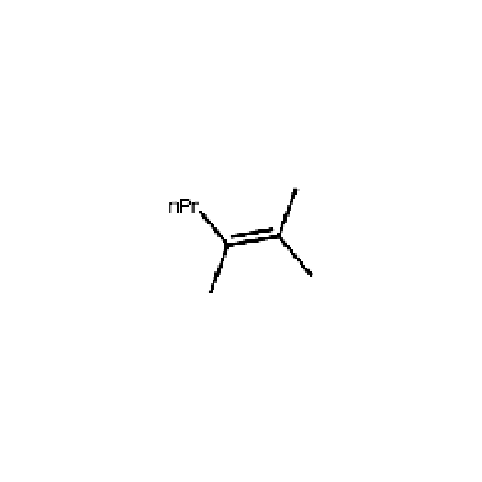 [CH2]CCC(C)=C(C)C